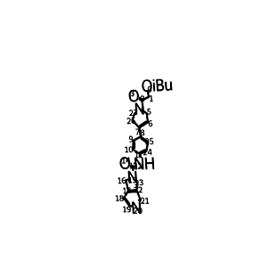 CC(C)COCC(=O)N1CC=C(c2ccc(NC(=O)N3Cc4ccncc4C3)cc2)CC1